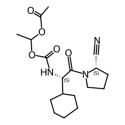 CC(=O)OC(C)OC(=O)N[C@H](C(=O)N1CCC[C@H]1C#N)C1CCCCC1